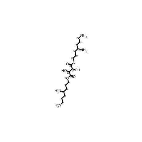 NCCCC(N)CCCOC(=O)C(O)C(O)C(=O)OCCCC(N)CCCN